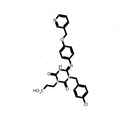 O=C(O)CCn1c(=O)[nH]/c(=N\c2ccc(OCc3cccnc3)cc2)n(Cc2ccc(Cl)cc2)c1=O